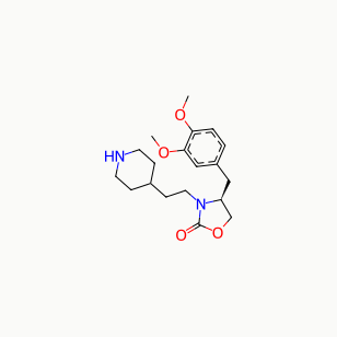 COc1ccc(C[C@H]2COC(=O)N2CCC2CCNCC2)cc1OC